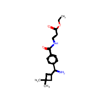 CCOC(=O)CCNC(=O)c1ccc(C(N)C2CC(C)(C)C2)cc1